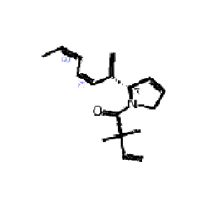 C=CC(C)(C)C(=O)N1CC=C[C@H]1C(=C)/C=C\C=C/C